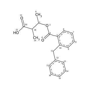 CC(OC(=O)c1ccccc1Cc1ccccc1)C(C)C(=O)O